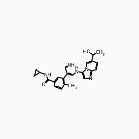 Cc1ccc(C(=O)NC2CC2)cc1/C(C=N)=C/Nc1cnc2ccc(C(C)O)cn12